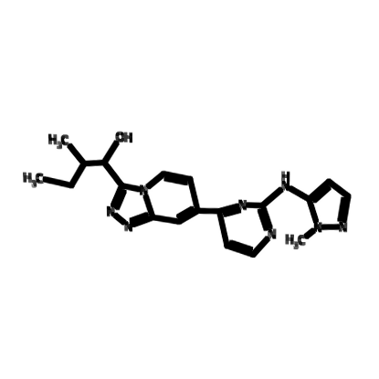 CCC(C)C(O)c1nnc2cc(-c3ccnc(Nc4ccnn4C)n3)ccn12